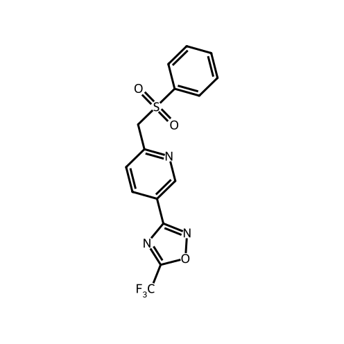 O=S(=O)(Cc1ccc(-c2noc(C(F)(F)F)n2)cn1)c1ccccc1